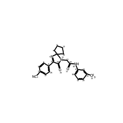 N#Cc1ccc(C2=NC3(CCCC3)N(CC(=O)Nc3cccc(C(F)(F)F)c3)C2=O)cc1